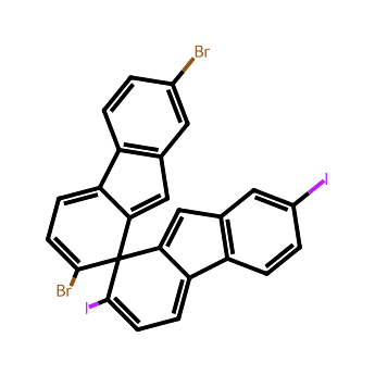 BrC1=CC=C2C(=Cc3cc(Br)ccc32)C12C(I)=CC=C1C2=Cc2cc(I)ccc21